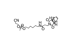 C[C@]12C=C[C@](C)(O1)[C@@H]1C(=O)N(CCC(=O)NCCCCCCOP(C)(=O)OCCC#N)C(=O)[C@@H]12